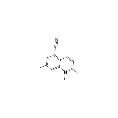 Cc1cc(C#N)c2ccc(C)[n+](C)c2c1